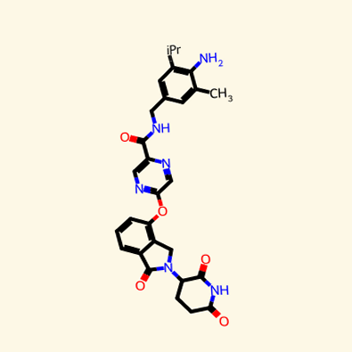 Cc1cc(CNC(=O)c2cnc(Oc3cccc4c3CN(C3CCC(=O)NC3=O)C4=O)cn2)cc(C(C)C)c1N